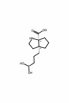 O=C(O)[C@]12CCC[C@@]1(CCCB(O)O)CCN2